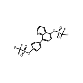 O=S(=O)(Oc1ccc(-c2ccc(OS(=O)(=O)C(F)(F)F)c3cccnc23)cc1)C(F)(F)F